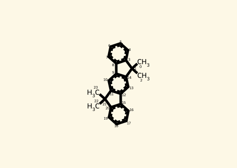 CC1(C)c2c[c]ccc2-c2cc3c(cc21)-c1cc[c]cc1C3(C)C